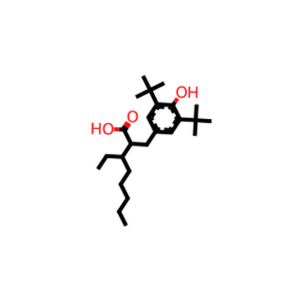 CCCCCC(CC)C(Cc1cc(C(C)(C)C)c(O)c(C(C)(C)C)c1)C(=O)O